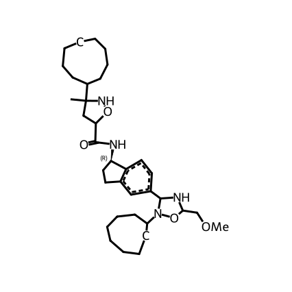 COCC1NC(c2ccc3c(c2)CC[C@H]3NC(=O)C2CC(C)(C3CCCCCCCC3)NO2)N(C2CCCCCCC2)O1